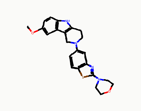 COc1ccc2[nH]c3c(c2c1)CN(c1ccc2sc(N4CCOCC4)nc2c1)CC3